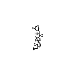 Cc1nc(N2CCN(CC3CC3)C2=O)sc1C(=O)NCc1cncc(F)c1